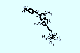 C=C=C(C)C[C@H](CC[C@@H]1O[C@@H](CCCOC(=O)C(C)(C)C)CC1=C)OC(=O)c1ccc([N+](=O)[O-])cc1